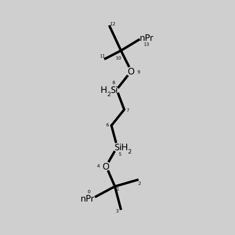 CCCC(C)(C)O[SiH2]CC[SiH2]OC(C)(C)CCC